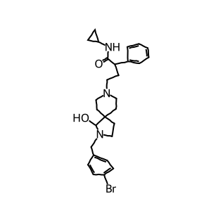 O=C(NC1CC1)C(CCN1CCC2(CC1)CCN(Cc1ccc(Br)cc1)C2O)c1ccccc1